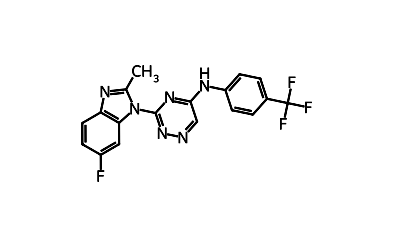 Cc1nc2ccc(F)cc2n1-c1nncc(Nc2ccc(C(F)(F)F)cc2)n1